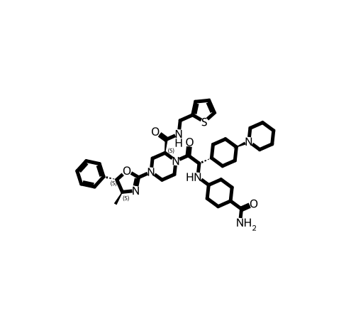 C[C@@H]1N=C(N2CCN(C(=O)C(NC3CCC(C(N)=O)CC3)[C@H]3CC[C@H](N4CCCCC4)CC3)[C@H](C(=O)NCc3cccs3)C2)O[C@H]1c1ccccc1